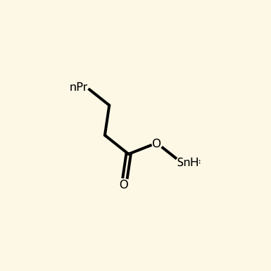 CCCCCC(=O)[O][SnH]